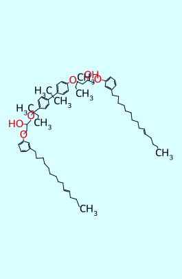 CCCC/C=C/CCCCCCCCCc1cccc(OCC(O)COC(C)(CC)c2ccc(C(C)(C)c3ccc(OC(C)(CC)CC(O)COc4cccc(CCCCCCCCC/C=C/CCCC)c4)cc3)cc2)c1